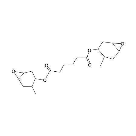 CC1CC2OC2CC1OC(=O)CCCCC(=O)OC1CC2OC2CC1C